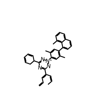 C=C/C=C(\C=C/C)c1nc(C2C=CC=CC2)n[n+](-c2cc(C)c(-c3cccc4cccc(C)c34)cc2C)n1